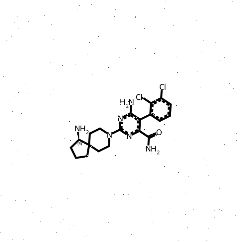 NC(=O)c1nc(N2CCC3(CCC[C@H]3N)CC2)nc(N)c1-c1cccc(Cl)c1Cl